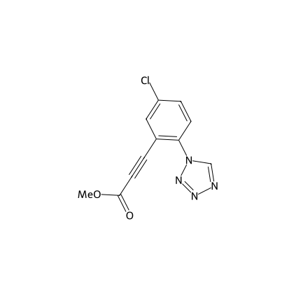 COC(=O)C#Cc1cc(Cl)ccc1-n1cnnn1